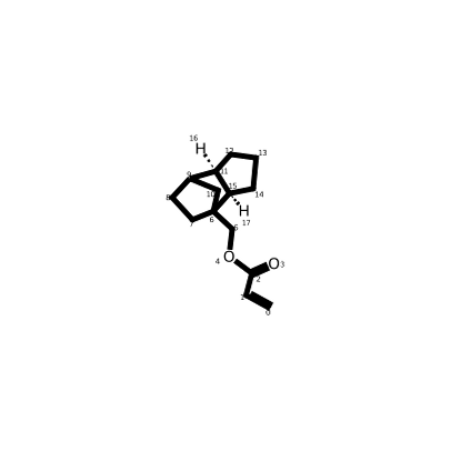 C=CC(=O)OCC12CCC(C1)[C@H]1CCC[C@H]12